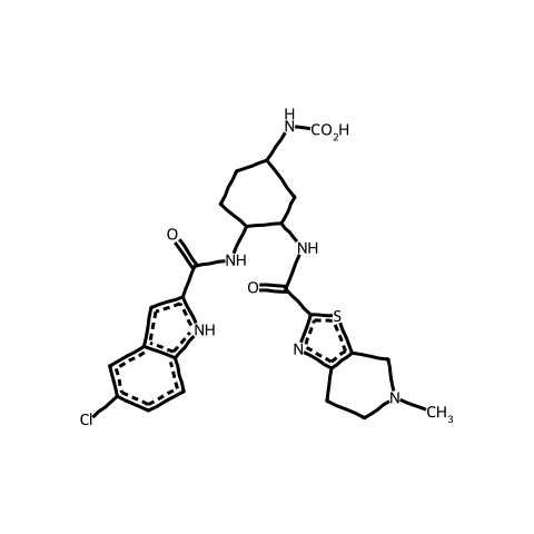 CN1CCc2nc(C(=O)NC3CC(NC(=O)O)CCC3NC(=O)c3cc4cc(Cl)ccc4[nH]3)sc2C1